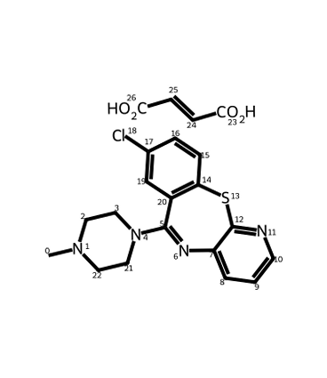 CN1CCN(C2=Nc3cccnc3Sc3ccc(Cl)cc32)CC1.O=C(O)C=CC(=O)O